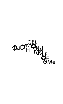 CCc1cc(Nc2nccn3c(-c4ccc(OC)c(F)c4F)cnc23)ccc1C(=O)NCC1CCN(Cc2cccnc2)CC1